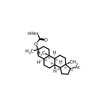 CCCCCCC(=O)O[C@]1(C)CC[C@@]2(C)[C@@H](CC[C@@H]3[C@@H]2CC[C@]2(C)[C@@H](C(C)=O)CC[C@@H]32)C1